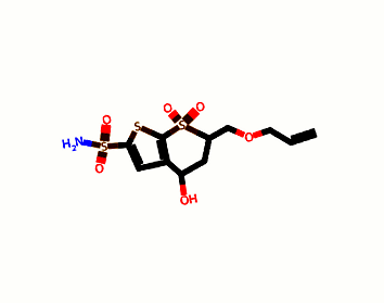 C=CCOCC1CC(O)c2cc(S(N)(=O)=O)sc2S1(=O)=O